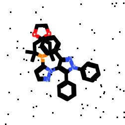 CC1(C)CC2(CC(C)(C)P1c1ccnn1-c1c(-c3ccccc3)nn(-c3ccccc3)c1-c1ccccc1)OCCO2